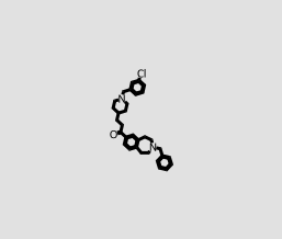 O=C(CCC1CCN(Cc2cccc(Cl)c2)CC1)c1ccc2c(c1)CCN(Cc1ccccc1)CC2